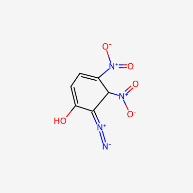 [N-]=[N+]=C1C(O)=CC=C([N+](=O)[O-])C1[N+](=O)[O-]